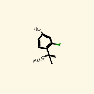 CSC(C)(C)c1ccc(C(C)(C)C)cc1F